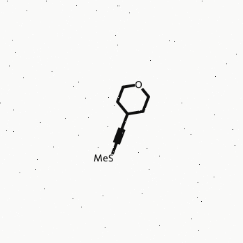 CSC#CC1CCOCC1